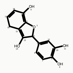 OC1=C2OC(c3ccc(O)c(O)c3)C(O)=C2CC=C1